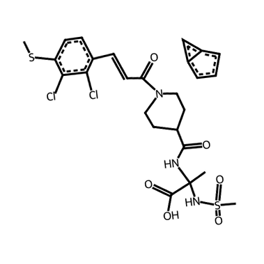 CSc1ccc(C=CC(=O)N2CCC(C(=O)NC(C)(NS(C)(=O)=O)C(=O)O)CC2)c(Cl)c1Cl.c1cc2cc-2c1